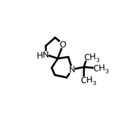 CC(C)(C)N1CCCC2(C1)NCCO2